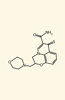 NC(=O)c1cn2c3c(cccc3c1=S)OC(CN1CCOCC1)C2